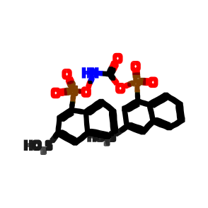 O=C(NOS(=O)(=O)c1cc(S(=O)(=O)O)cc2ccccc12)OS(=O)(=O)c1cc(S(=O)(=O)O)cc2ccccc12